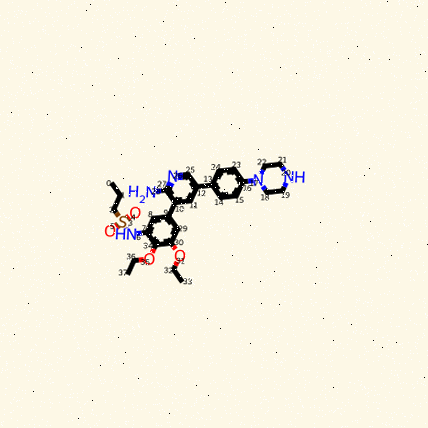 CCCS(=O)(=O)Nc1cc(-c2cc(-c3ccc(N4CCNCC4)cc3)cnc2N)cc(OCC)c1OCC